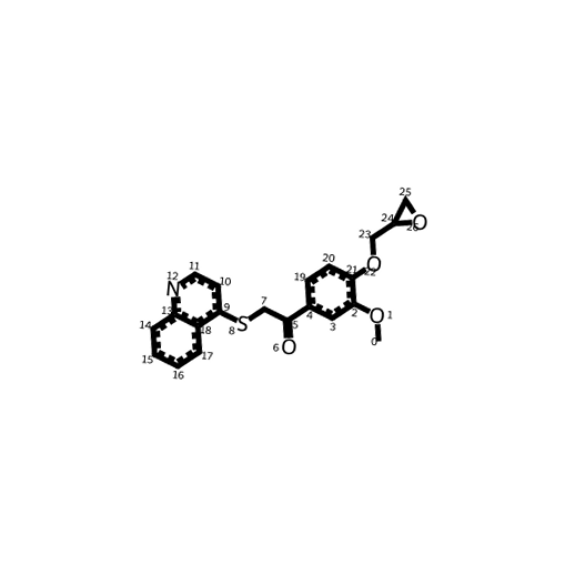 COc1cc(C(=O)CSc2ccnc3ccccc23)ccc1OCC1CO1